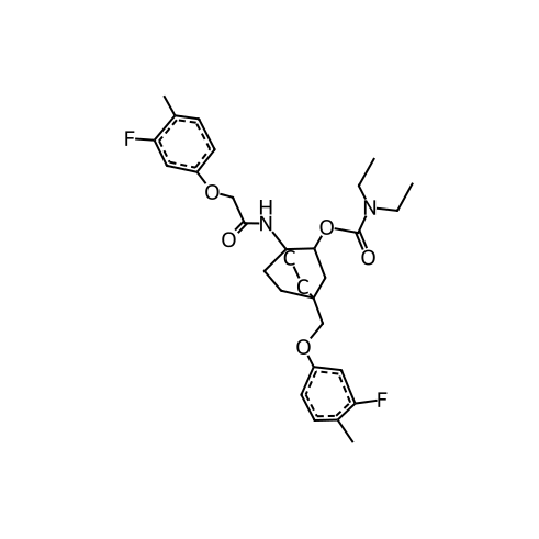 CCN(CC)C(=O)OC1CC2(COc3ccc(C)c(F)c3)CCC1(NC(=O)COc1ccc(C)c(F)c1)CC2